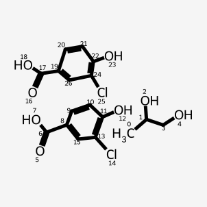 CC(O)CO.O=C(O)c1ccc(O)c(Cl)c1.O=C(O)c1ccc(O)c(Cl)c1